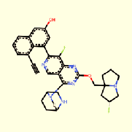 C#Cc1cccc2cc(O)cc(-c3ncc4c(N5CC6CCC5CN6)nc(OCC56CCCN5C[C@H](F)C6)nc4c3F)c12